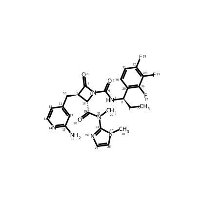 CC[C@@H](NC(=O)N1C(=O)[C@H](Cc2ccnc(N)c2)[C@H]1C(=O)N(C)c1nccn1C)c1ccc(F)c(F)c1F